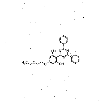 CCOCCOc1cc(O)c(-c2nc(-c3ccccc3)nc(-c3ccccc3)n2)c(O)c1